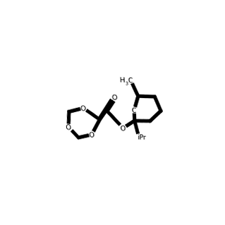 CC1CCCC(OC(=O)C2OCOCO2)(C(C)C)C1